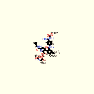 C=Cc1cc(C(=O)Nc2ccc(C(=N)NC(=O)OCCCCCC)cc2)c(-c2ccc(C(=O)NCC3CC3)nc2C(=O)OCOC(=O)[C@@H](NC(=O)OC(C)(C)C)[C@@H](C)CC)cc1OC